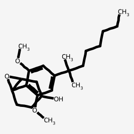 CCCCCCC(C)(C)c1cc(OC)c(C23CCC(O)CC2O3)c(OC)c1